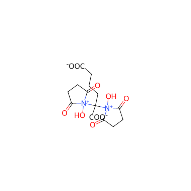 O=C([O-])CCCC(C(=O)[O-])([N+]1(O)C(=O)CCC1=O)[N+]1(O)C(=O)CCC1=O